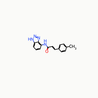 Cc1ccc(C=CC(=O)Nc2cccc3[nH]nnc23)cc1